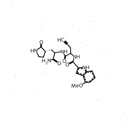 C#CCC(NC(=O)c1cc2c(OC)cccc2[nH]1)C(=O)NC(C[C@@H]1CCNC1=O)C(N)=O